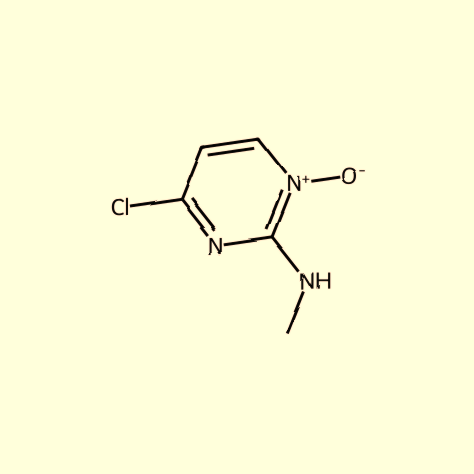 CNc1nc(Cl)cc[n+]1[O-]